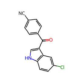 N#Cc1ccc(C(=O)c2c[nH]c3ccc(Cl)cc23)cc1